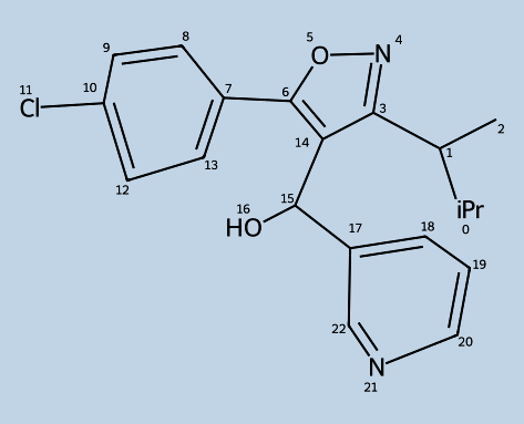 CC(C)C(C)c1noc(-c2ccc(Cl)cc2)c1C(O)c1cccnc1